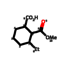 CCC1CCCC(C(=O)O)C1C(=O)OC